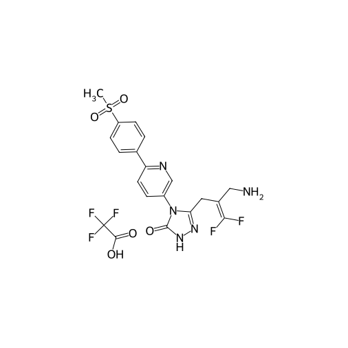 CS(=O)(=O)c1ccc(-c2ccc(-n3c(CC(CN)=C(F)F)n[nH]c3=O)cn2)cc1.O=C(O)C(F)(F)F